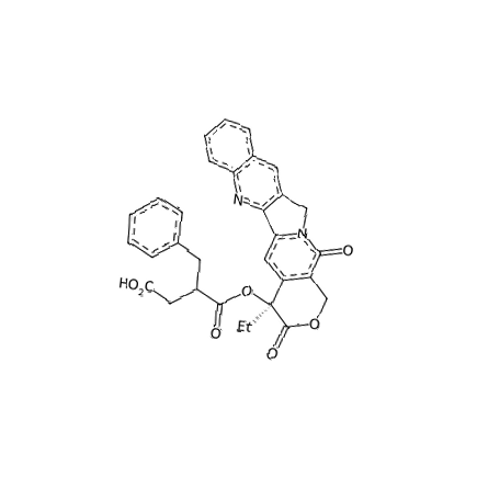 CC[C@@]1(OC(=O)C(CC(=O)O)Cc2ccccc2)C(=O)OCc2c1cc1n(c2=O)Cc2cc3ccccc3nc2-1